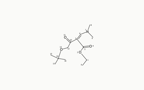 CCOC(=O)/C(=C\N(C)C)C(=O)COC(C)(C)C